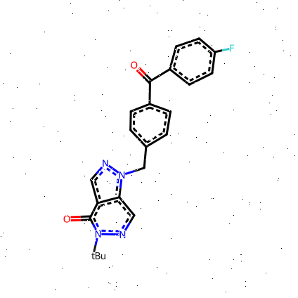 CC(C)(C)n1ncc2c(cnn2Cc2ccc(C(=O)c3ccc(F)cc3)cc2)c1=O